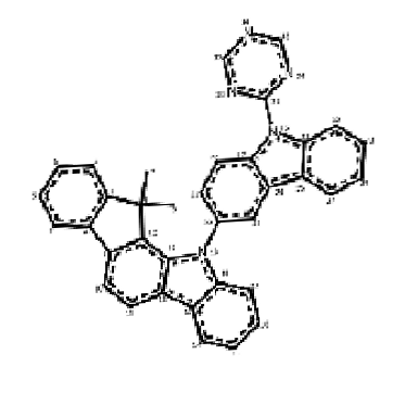 CC1(C)c2ccccc2-c2ccc3c4ccccc4n(-c4ccc5c(c4)c4ccccc4n5-c4ncncn4)c3c21